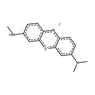 CNc1ccc2nc3ccc(N(C)C)cc3[s+]c2c1.[I-]